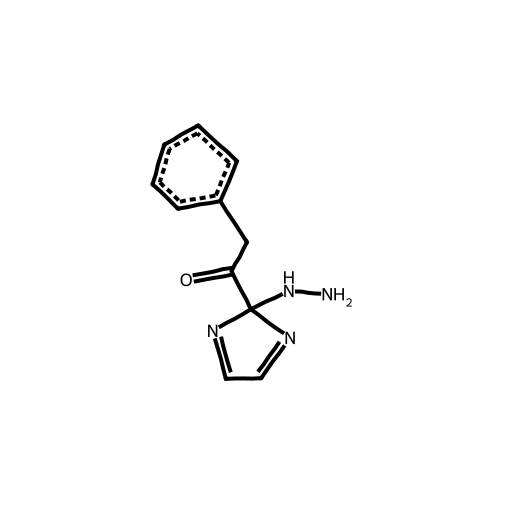 NNC1(C(=O)Cc2ccccc2)N=CC=N1